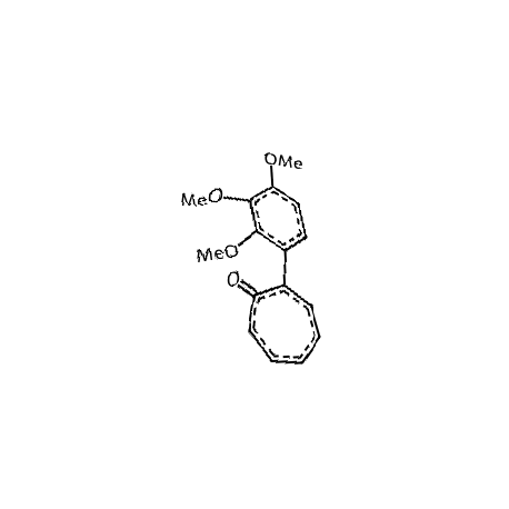 COc1ccc(-c2cccccc2=O)c(OC)c1OC